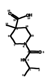 CC(C)NC(=O)N1CCC(C)(C(=O)O)CC1